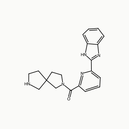 O=C(c1cccc(-c2nc3ccccc3[nH]2)n1)N1CCC2(CCNC2)C1